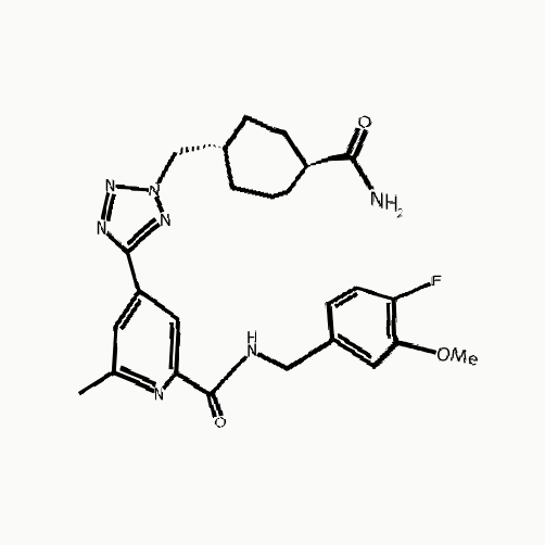 COc1cc(CNC(=O)c2cc(-c3nnn(C[C@H]4CC[C@H](C(N)=O)CC4)n3)cc(C)n2)ccc1F